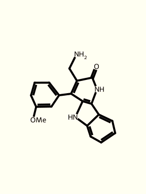 COc1cccc(-c2c(CN)c(=O)[nH]c3c2[nH]c2ccccc23)c1